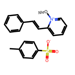 CO[n+]1ccccc1C=Cc1ccccc1.Cc1ccc(S(=O)(=O)[O-])cc1